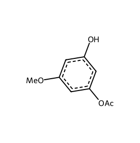 COc1cc(O)cc(OC(C)=O)c1